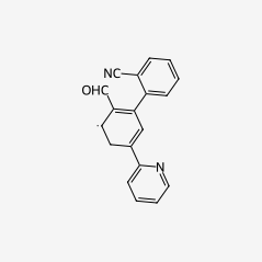 N#Cc1ccccc1C1=C(C=O)[CH]CC(c2ccccn2)=C1